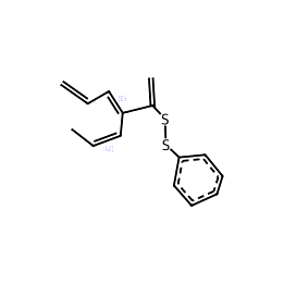 C=C/C=C(\C=C/C)C(=C)SSc1ccccc1